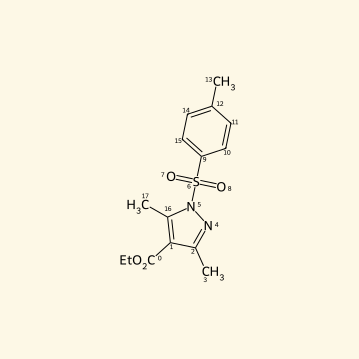 CCOC(=O)c1c(C)nn(S(=O)(=O)c2ccc(C)cc2)c1C